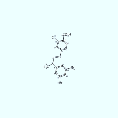 O=C(O)c1ccc(/C=C/C(c2cc(Br)cc(Br)c2)C(F)(F)F)cc1Cl